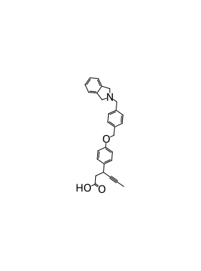 CC#CC(CC(=O)O)c1ccc(OCc2ccc(CN3Cc4ccccc4C3)cc2)cc1